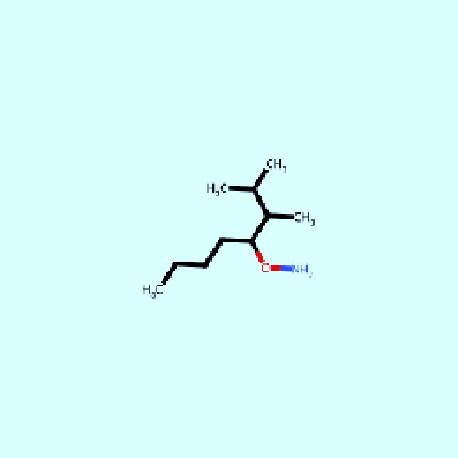 CCCCC(ON)C(C)C(C)C